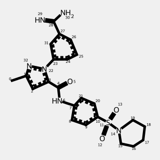 Cc1cc(C(=O)Nc2ccc(S(=O)(=O)N3CCCCC3)cc2)n(-c2cccc(C(=N)N)c2)n1